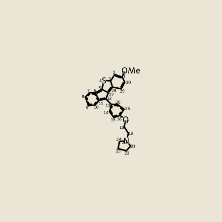 COC1=CC2SC3=c4ccccc4=C(c4ccc(OCCN5CCCC5)cc4)C3=C2C=C1